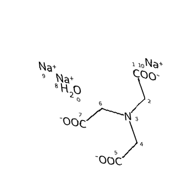 O.O=C([O-])CN(CC(=O)[O-])CC(=O)[O-].[Na+].[Na+].[Na+]